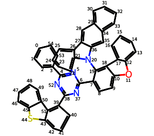 c1ccc(-c2nc(-c3ccc4oc5ccccc5c4c3-n3c4ccccc4c4cc5ccccc5cc43)nc(-c3cccc4sc5ccccc5c34)n2)cc1